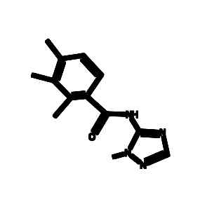 Cc1ccc(C(=O)Nc2ncnn2C)c(C)c1C